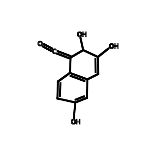 O=C=C1c2ccc(O)cc2C=C(O)C1O